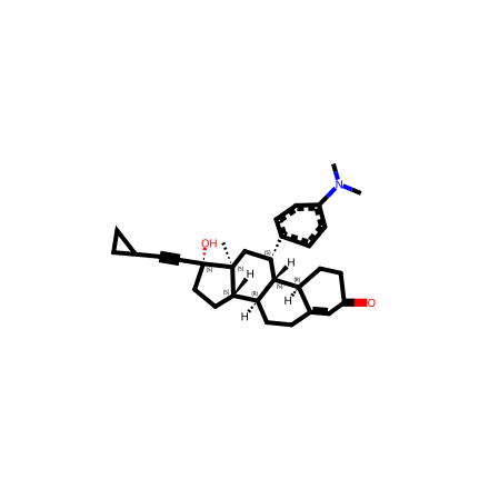 CN(C)c1ccc([C@H]2C[C@@]3(C)[C@@H](CC[C@@]3(O)C#CC3CC3)[C@@H]3CCC4=CC(=O)CC[C@@H]4[C@H]32)cc1